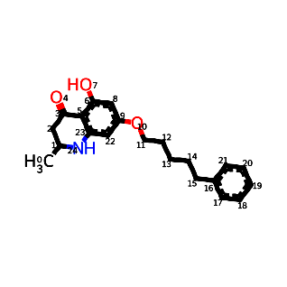 CC1CC(=O)c2c(O)cc(OCCCCCc3ccccc3)cc2N1